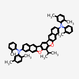 Cc1ccc(C)c(N(c2ccc3cc4c(cc3c2)oc2c(C(C)C)c3oc5cc6cc(N(c7ccccc7C)c7cc(C)ccc7C)ccc6cc5c3cc24)c2ccccc2C)c1